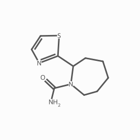 NC(=O)N1CCCCCC1c1nccs1